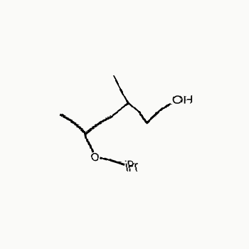 CC(C)OC(C)C(C)CO